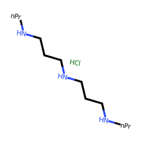 CCCNCCCNCCCNCCC.Cl